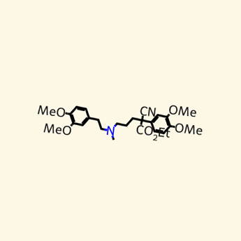 CCOC(=O)C(C#N)(CCCN(C)CCc1ccc(OC)c(OC)c1)c1ccc(OC)c(OC)c1